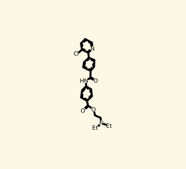 CCN(CC)CCOC(=O)c1ccc(NC(=O)c2ccc(-c3ncccc3Cl)cc2)cc1